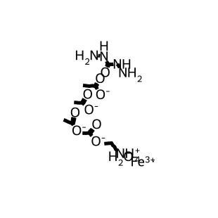 CC(=O)[O-].CC(=O)[O-].CC(=O)[O-].CC(=O)[O-].CCC.NNC(=O)NN.O.[Fe+3].[NH4+]